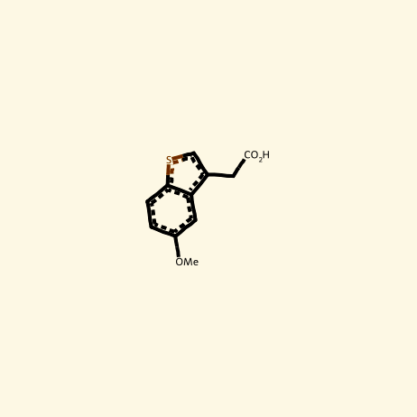 COc1ccc2scc(CC(=O)O)c2c1